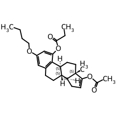 CCCCOc1cc2c(c(OC(=O)CC)c1)[C@H]1CC[C@]3(C)C(OC(C)=O)=CC[C@H]3[C@@H]1CC2